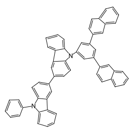 c1ccc(-n2c3ccccc3c3cc(-c4ccc5c(c4)c4ccccc4n5-c4cc(-c5ccc6ccccc6c5)cc(-c5ccc6ccccc6c5)c4)ccc32)cc1